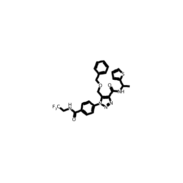 CC(NC(=O)c1nnn(-c2ccc(C(=O)NCC(F)(F)F)cc2)c1COCc1ccccc1)c1cccs1